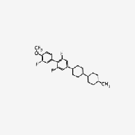 CC1CCC(C2CCC(c3cc(F)c(-c4ccc(OC(F)(F)F)c(F)c4)c(F)c3)CC2)CC1